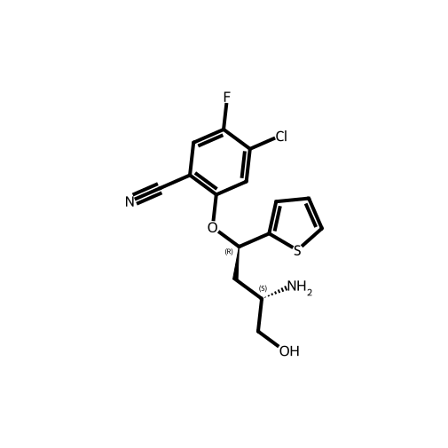 N#Cc1cc(F)c(Cl)cc1O[C@H](C[C@H](N)CO)c1cccs1